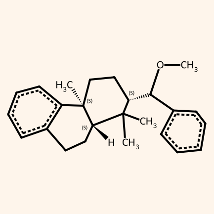 COC(c1ccccc1)[C@H]1CC[C@]2(C)c3ccccc3CC[C@H]2C1(C)C